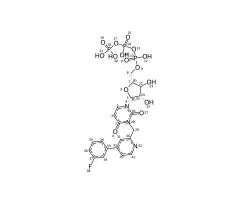 O=c1ccn([C@@H]2O[C@H](COP(=O)(O)OP(=O)(O)OP(=O)(O)O)C(O)[C@@H]2O)c(=O)n1Cc1cc(-c2cccc(F)c2)ccn1